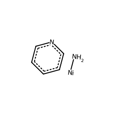 [NH2][Ni].c1ccncc1